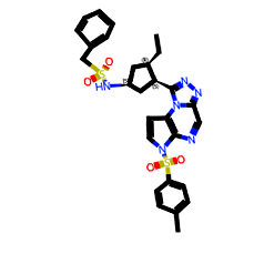 CC[C@@H]1C[C@H](NS(=O)(=O)Cc2ccccc2)C[C@@H]1c1nnc2cnc3c(ccn3S(=O)(=O)c3ccc(C)cc3)n12